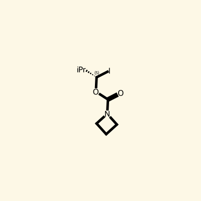 CC(C)[C@H](I)OC(=O)N1CCC1